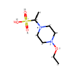 CCON1CCN(C(C)S(=O)(=O)O)CC1